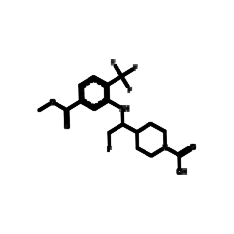 COC(=O)c1ccc(C(F)(F)F)c(NC(CF)C2CCN(C(=O)O)CC2)c1